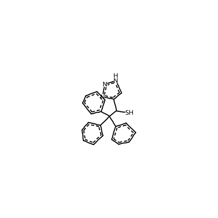 SC(c1c[nH]nn1)C(c1ccccc1)(c1ccccc1)c1ccccc1